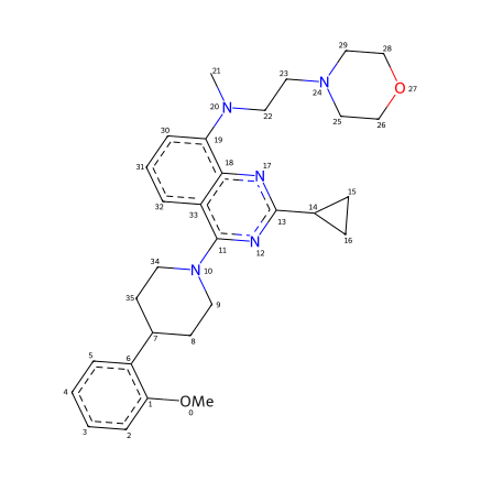 COc1ccccc1C1CCN(c2nc(C3CC3)nc3c(N(C)CCN4CCOCC4)cccc23)CC1